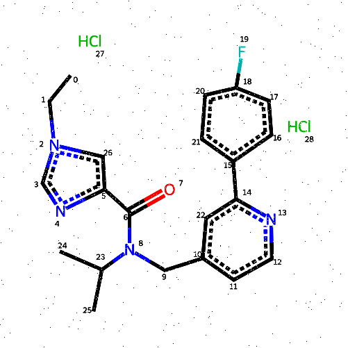 CCn1cnc(C(=O)N(Cc2ccnc(-c3ccc(F)cc3)c2)C(C)C)c1.Cl.Cl